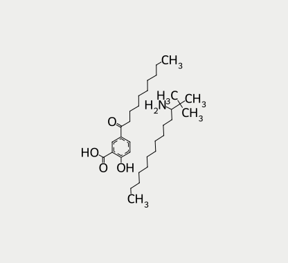 CCCCCCCCCC(=O)c1ccc(O)c(C(=O)O)c1.CCCCCCCCCCCC(N)C(C)(C)C